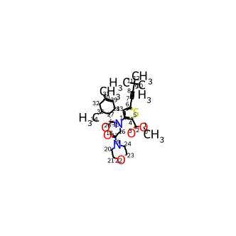 COC(=O)c1sc(C#CC(C)(C)C)cc1N(CC(=O)N1CCOCC1)C(=O)[C@H]1CC=C(C)C[C@@H]1C